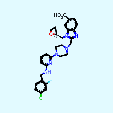 O=C(O)c1ccc2nc(CN3CCN(c4cccc(NCc5ccc(Cl)cc5F)n4)CC3)n(C[C@@H]3CCO3)c2c1